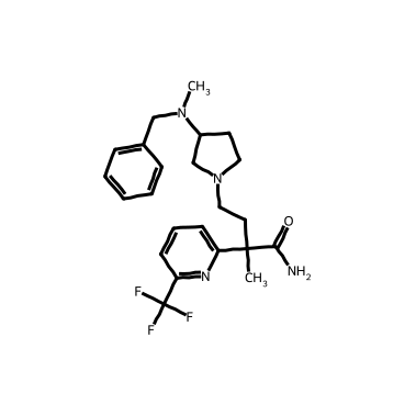 CN(Cc1ccccc1)C1CCN(CCC(C)(C(N)=O)c2cccc(C(F)(F)F)n2)C1